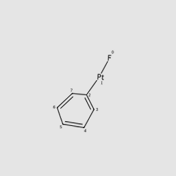 [F][Pt][c]1ccccc1